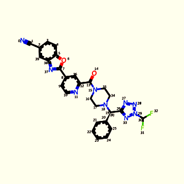 N#Cc1ccc2oc(-c3ccnc(C(=O)N4CCN([C@H](c5ccccc5)c5nnn(C(F)F)n5)CC4)c3)nc2c1